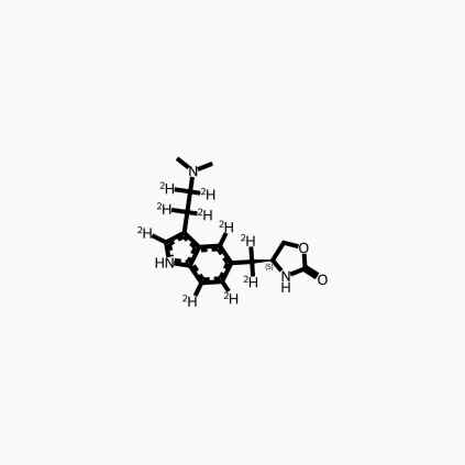 [2H]c1[nH]c2c([2H])c([2H])c(C([2H])([2H])[C@H]3COC(=O)N3)c([2H])c2c1C([2H])([2H])C([2H])([2H])N(C)C